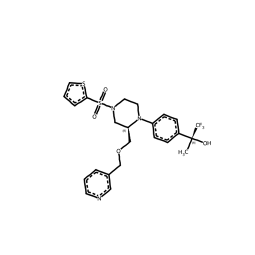 C[C@@](O)(c1ccc(N2CCN(S(=O)(=O)c3cccs3)C[C@@H]2COCc2cccnc2)cc1)C(F)(F)F